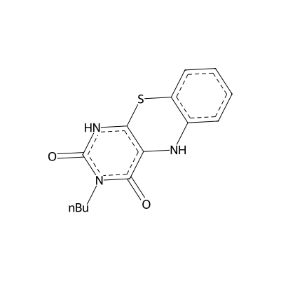 CCCCn1c(=O)[nH]c2c(c1=O)Nc1ccccc1S2